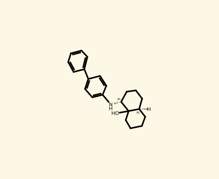 OC12CCCC[C@@H]1CCC[C@H]2Nc1ccc(-c2ccccc2)cc1